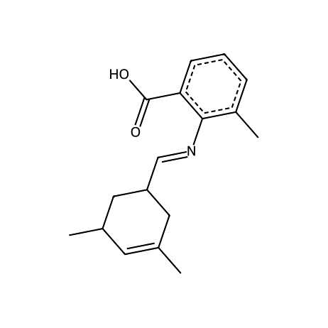 CC1=CC(C)CC(C=Nc2c(C)cccc2C(=O)O)C1